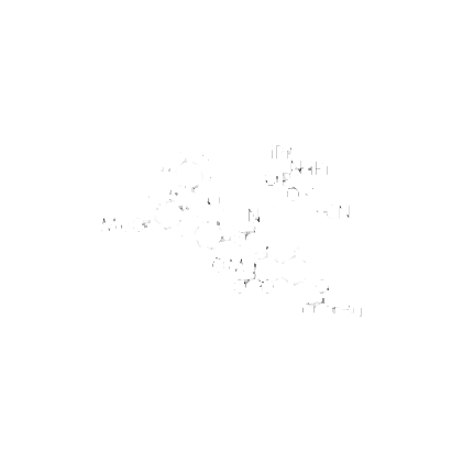 COc1ccc(C(OC[C@@H]2C[C@@H](OP(OCCC#N)N(C(C)C)C(C)C)CN2C(=O)Cc2cc(=O)oc3cc(OC(=O)C(C)(C)C)ccc23)(c2ccccc2)c2ccc(OC)cc2)cc1